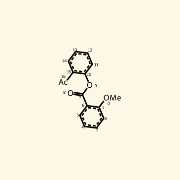 COc1ccccc1C(=O)Oc1ccccc1C(C)=O